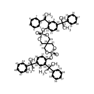 C=C(c1ccccc1)c1cc(C(C)(C)c2ccccc2)ccc1OP1(=O)OCC2(CO1)COP(=O)(Oc1ccc(C(C)(C)c3ccccc3)cc1C(C)(C)c1ccccc1)OC2